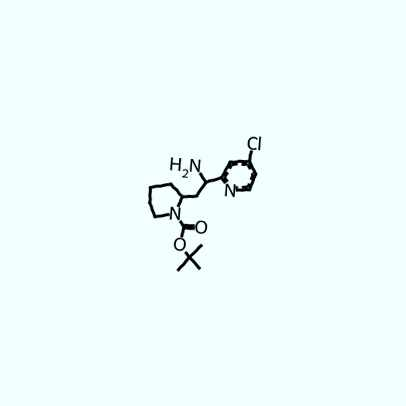 CC(C)(C)OC(=O)N1CCCCC1CC(N)c1cc(Cl)ccn1